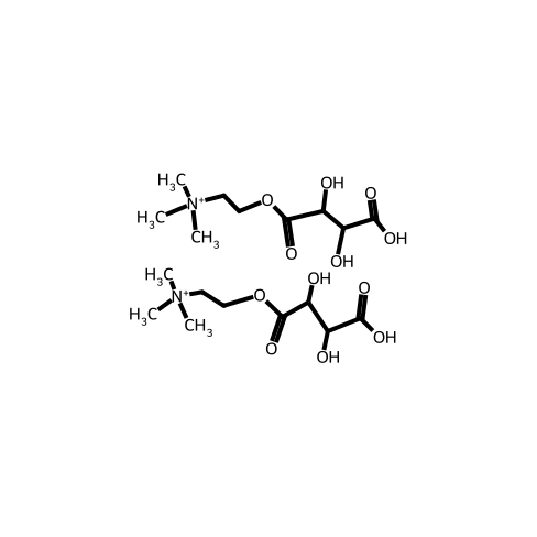 C[N+](C)(C)CCOC(=O)C(O)C(O)C(=O)O.C[N+](C)(C)CCOC(=O)C(O)C(O)C(=O)O